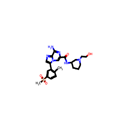 Cc1ccc(S(C)(=O)=O)cc1-c1cnc2c(N)nc(C(=O)NC3CCCN(CCO)C3)cn12